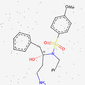 COc1ccc(S(=O)(=O)N(CC(C)C)[C@@](O)(CCN)Cc2ccccc2)cc1